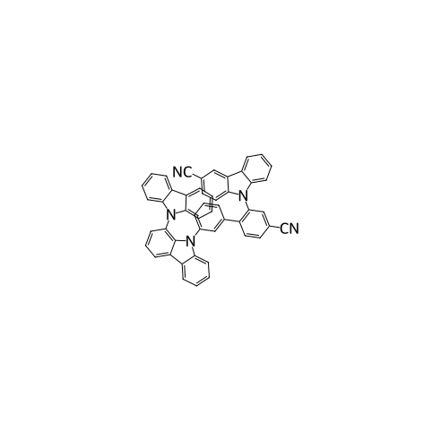 N#Cc1ccc(-c2cccc(-n3c4ccccc4c4cccc(-n5c6ccccc6c6ccccc65)c43)c2)c(-n2c3ccccc3c3cc(C#N)ccc32)c1